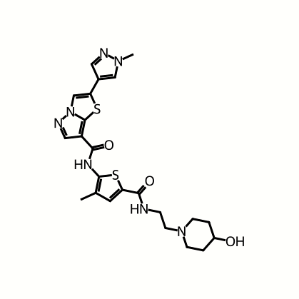 Cc1cc(C(=O)NCCN2CCC(O)CC2)sc1NC(=O)c1cnn2cc(-c3cnn(C)c3)sc12